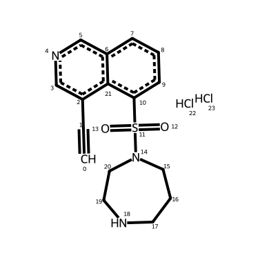 C#Cc1cncc2cccc(S(=O)(=O)N3CCCNCC3)c12.Cl.Cl